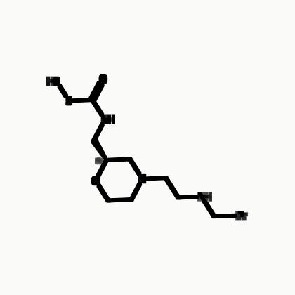 CC(C)CNCCN1CCO[C@@H](CNC(=O)SS)C1